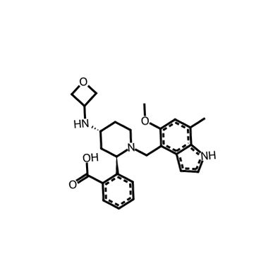 COc1cc(C)c2[nH]ccc2c1CN1CC[C@@H](NC2COC2)C[C@@H]1c1ccccc1C(=O)O